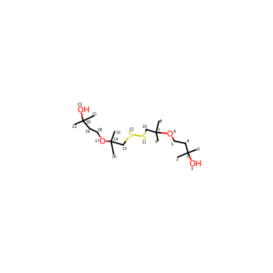 CC(C)(O)CCOC(C)(C)CSSCC(C)(C)OCCC(C)(C)O